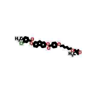 Cc1ccc(C(=O)Oc2ccc3c(c2)Cc2cc(OC(=O)c4ccc(OCCCCCCOCC5(C)COC5)cc4)ccc2-3)cc1Cl